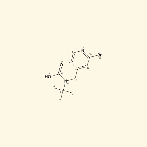 CC(C)(C)N(Cc1ccnc(Br)c1)C(=O)O